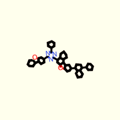 c1ccc(-c2nc(-c3ccc4c(c3)oc3ccccc34)nc(-c3cc4oc5ccc(-c6ccc(-c7ccccc7)c7ccccc67)cc5c4c4ccccc34)n2)cc1